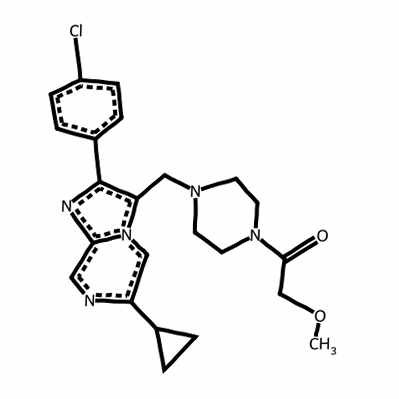 COCC(=O)N1CCN(Cc2c(-c3ccc(Cl)cc3)nc3cnc(C4CC4)cn23)CC1